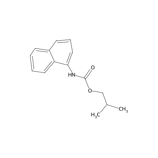 CC(C)COC(=O)Nc1cccc2ccccc12